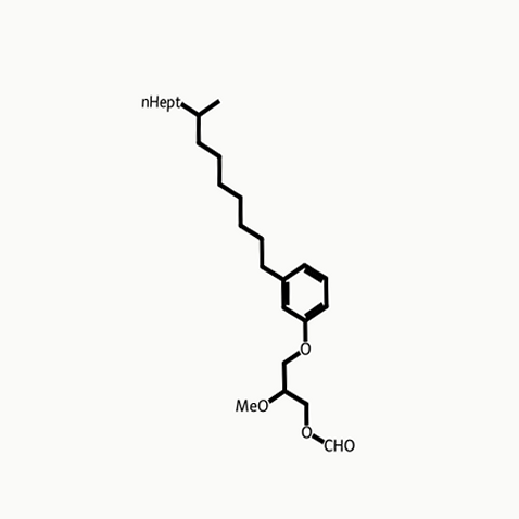 CCCCCCCC(C)CCCCCCCc1cccc(OCC(COC=O)OC)c1